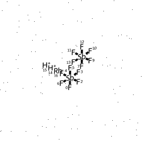 [F][Sb-]([F])([F])([F])([F])[F].[F][Sb-]([F])([F])([F])([F])[F].[H+].[H+].[Rh]